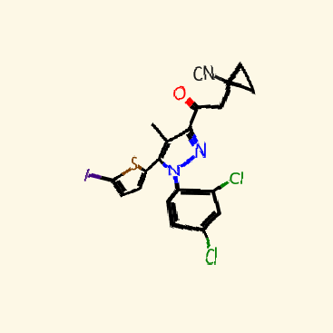 [C-]#[N+]C1(CC(=O)c2nn(-c3ccc(Cl)cc3Cl)c(-c3ccc(I)s3)c2C)CC1